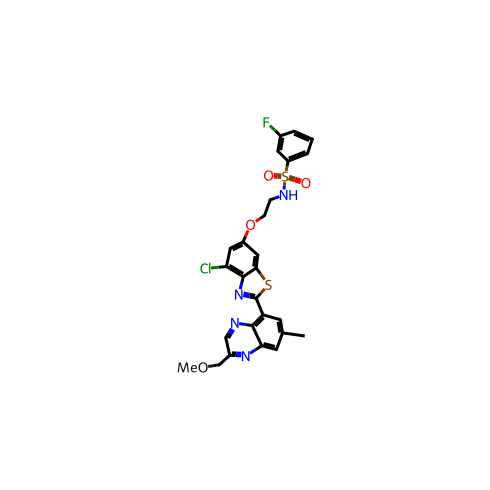 COCc1cnc2c(-c3nc4c(Cl)cc(OCCNS(=O)(=O)c5cccc(F)c5)cc4s3)cc(C)cc2n1